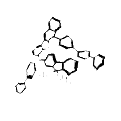 CC1(C)c2ccccc2-c2ccc(N(c3ccc(-c4ccccc4)cc3)c3cccc4c3oc3c(-c5ccc(-c6ccc(-c7ccccc7)cc6)cc5)c5ccccc5cc34)cc21